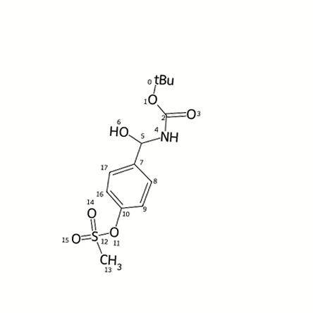 CC(C)(C)OC(=O)NC(O)c1ccc(OS(C)(=O)=O)cc1